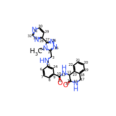 Cn1c(CNc2cccc(C(=O)NC3C(=O)NCc4ccccc43)c2)nnc1-c1ccncn1